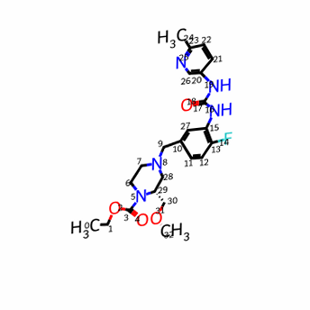 CCOC(=O)N1CCN(Cc2ccc(F)c(NC(=O)Nc3ccc(C)nc3)c2)C[C@@H]1COC